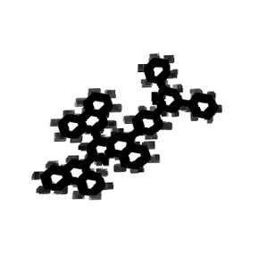 C1=C(c2cc(-c3ccccc3)cc(-c3ccccc3)n2)CCC(c2cc3c(-c4cc5ccccc5c5ccccc45)cc(-c4cc5ccccc5c5ccccc45)nc3c3ccccc23)=C1